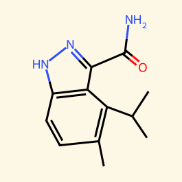 Cc1ccc2[nH]nc(C(N)=O)c2c1C(C)C